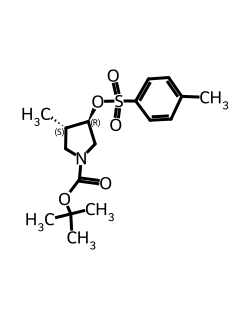 Cc1ccc(S(=O)(=O)O[C@H]2CN(C(=O)OC(C)(C)C)C[C@@H]2C)cc1